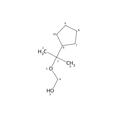 CC(C)(OCO)C1CCCC1